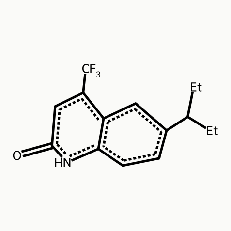 CCC(CC)c1ccc2[nH]c(=O)cc(C(F)(F)F)c2c1